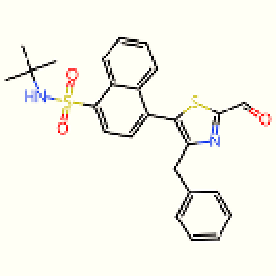 CC(C)(C)NS(=O)(=O)c1ccc(-c2sc(C=O)nc2Cc2ccccc2)c2ccccc12